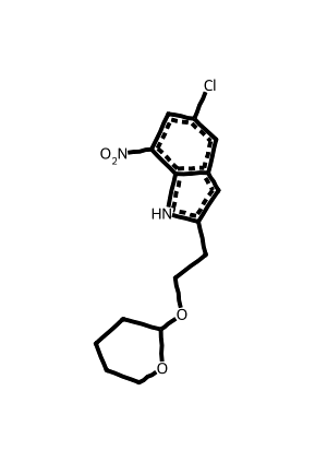 O=[N+]([O-])c1cc(Cl)cc2cc(CCOC3CCCCO3)[nH]c12